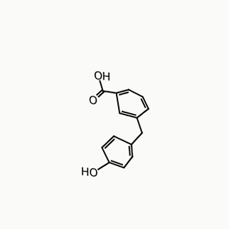 O=C(O)c1cccc(Cc2ccc(O)cc2)c1